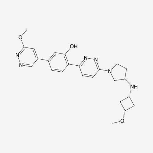 COc1cc(-c2ccc(-c3ccc(N4CCC(N[C@H]5C[C@@H](OC)C5)C4)nn3)c(O)c2)cnn1